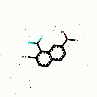 COc1ccc2ccc(C(C)Br)cc2c1C(F)F